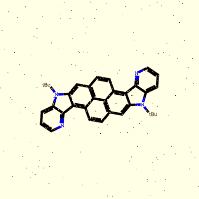 CC(C)(C)n1c2cccnc2c2c3ccc4cc5c(c6ccc(cc21)c3c46)c1ncccc1n5C(C)(C)C